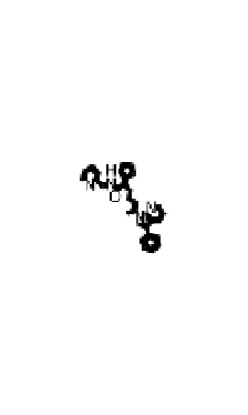 CC(CCCC(C(=O)NCc1ccccn1)C1CCCC1)n1cc(-c2ccccc2)c2cccnc21